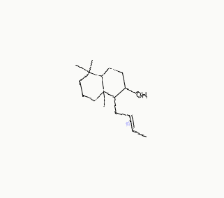 C/C=C/CC1C(O)CCC2C(C)(C)CCCC12C